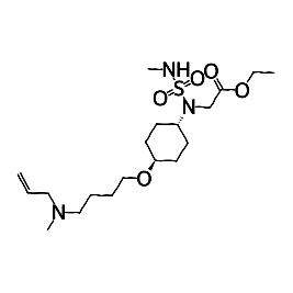 C=CCN(C)CCCCO[C@H]1CC[C@H](N(CC(=O)OCC)S(=O)(=O)NC)CC1